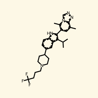 Cc1cc(-c2[nH]c3ccc(C4CCN(CCCC(F)(F)F)CC4)cc3c2C(C)C)c(C)n2cnnc12